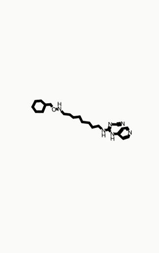 N#CN=C(NCCCCCCCCNOCC1CCCCC1)Nc1ccncc1